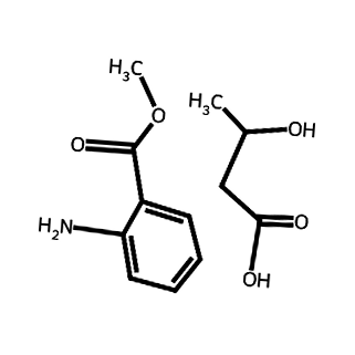 CC(O)CC(=O)O.COC(=O)c1ccccc1N